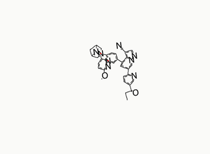 CCC(=O)c1ccc(-c2cc(-c3ccc(N4CC5CC(C4)N5Cc4ccc(OC)nc4)nc3)c3c(C#N)cnn3c2)nc1